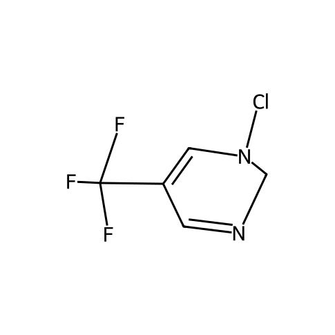 FC(F)(F)C1=CN(Cl)CN=C1